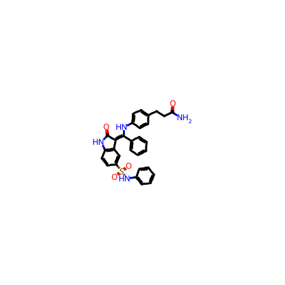 NC(=O)CCc1ccc(N/C(=C2\C(=O)Nc3ccc(S(=O)(=O)Nc4ccccc4)cc32)c2ccccc2)cc1